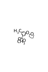 COC(=O)c1cc(C)cc(OC2CCCCO2)c1